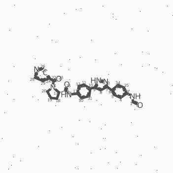 O=CNc1ccc(-c2cc(-c3ccc(NC(=O)[C@@H]4CCCN4C(=O)c4ccncc4)cc3)[nH]n2)cc1